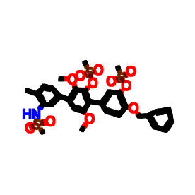 COc1cc(-c2ccc(C)c(NS(C)(=O)=O)c2)c(OC)c(OS(C)(=O)=O)c1-c1ccc(OCc2ccccc2)c(OS(C)(=O)=O)c1